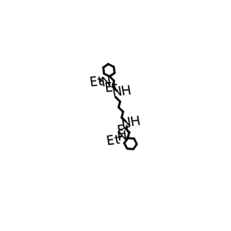 CCN(CC)C1(CCNCCCCCNCCC2(N(CC)CC)CCCCC2)CCCCC1